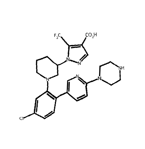 O=C(O)c1cnn(C2CCCN(c3cc(Cl)ccc3-c3ccc(N4CCNCC4)nc3)C2)c1C(F)(F)F